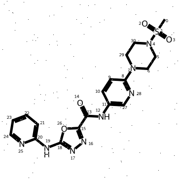 CS(=O)(=O)N1CCN(c2ccc(NC(=O)c3nnc(Nc4ccccn4)o3)cn2)CC1